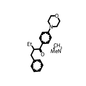 CCC(Cc1ccccc1)C(=O)c1ccc(N2CCOCC2)cc1.CNC